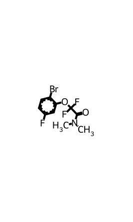 CN(C)C(=O)C(F)(F)Oc1cc(F)ccc1Br